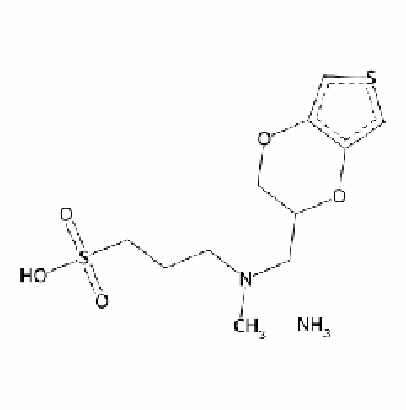 CN(CCCS(=O)(=O)O)CC1COc2cscc2O1.N